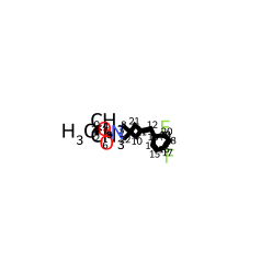 CC(C)(C)OC(=O)N1CC2(CC(=CC3C=CC(F)=C[C@H]3F)C2)C1